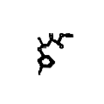 C[C@@H](CNC(=O)OC(C)(C)C)Oc1cccc(I)c1